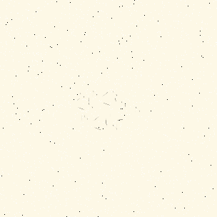 Cc1cnc(Nc2ccc(N3CCN(C)CC3)nc2)nc1Nc1ccc2c(c1)oc(=O)n2C